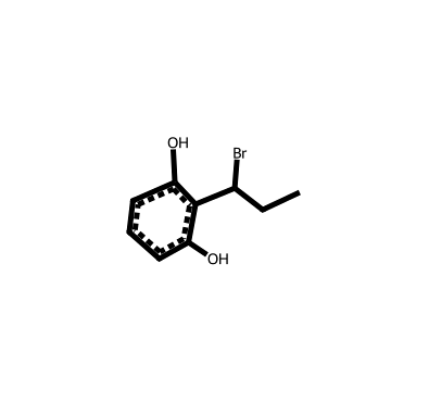 CCC(Br)c1c(O)cccc1O